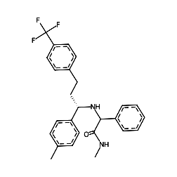 CNC(=O)C(N[C@@H](CCc1ccc(C(F)(F)F)cc1)c1ccc(C)cc1)c1ccccc1